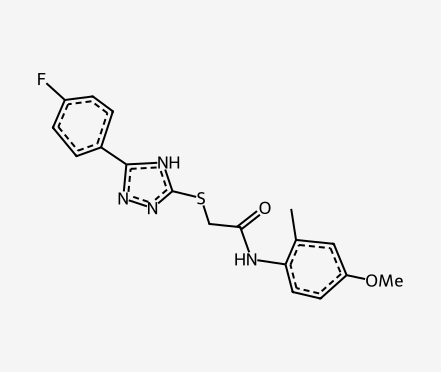 COc1ccc(NC(=O)CSc2nnc(-c3ccc(F)cc3)[nH]2)c(C)c1